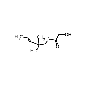 CC=CC(C)(C)CNC(=O)CO